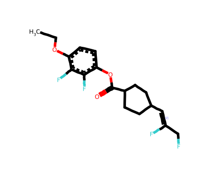 CCOc1ccc(OC(=O)C2CCC(/C=C(\F)CF)CC2)c(F)c1F